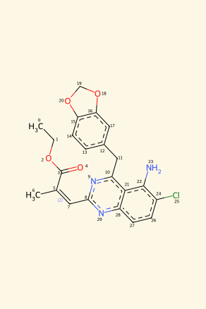 CCOC(=O)/C(C)=C\c1nc(Cc2ccc3c(c2)OCO3)c2c(N)c(Cl)ccc2n1